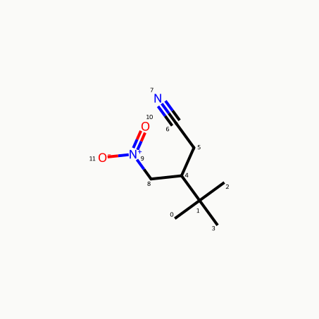 CC(C)(C)C(CC#N)C[N+](=O)[O-]